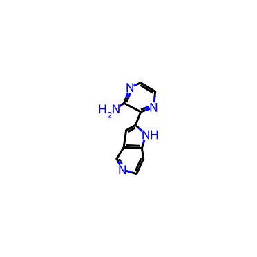 Nc1nccnc1-c1cc2cnccc2[nH]1